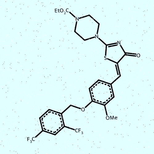 CCOC(=O)N1CCN(C2=NC(=O)C(=Cc3ccc(OCc4ccc(C(F)(F)F)cc4C(F)(F)F)c(OC)c3)S2)CC1